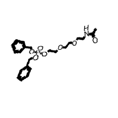 CC(=O)NCCOCCOCCOP(=O)(OCc1ccccc1)OCc1ccccc1